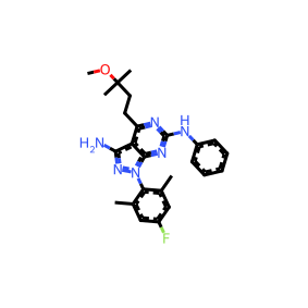 COC(C)(C)CCc1nc(Nc2ccccc2)nc2c1c(N)nn2-c1c(C)cc(F)cc1C